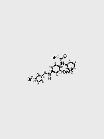 CCCC(=O)N(c1ccccc1)c1ccc(NCc2ccc(Br)s2)cc1OC